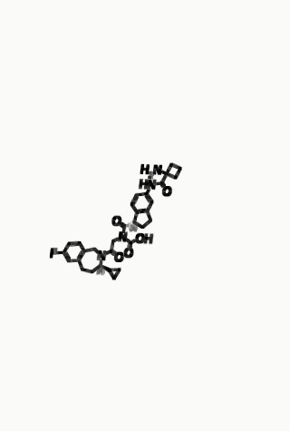 NC1(C(=O)Nc2ccc3c(c2)CC[C@@H]3C(=O)N(CC(=O)N2Cc3ccc(F)cc3CC[C@@H]2C2CC2)C(=O)O)CCC1